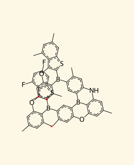 Cc1cc(C)c2c(c1)Oc1c(sc3cc(C)cc(C)c13)B2c1cc2c(cc1C)Nc1cc(C)cc3c1B2c1cc(B2c4sc5cc(F)cc(F)c5c4Oc4cc(C)cc(C)c42)c(C)cc1O3